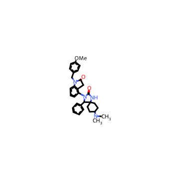 COc1ccc(CN2C(=O)Cc3c2cccc3N2C(=O)NC3(CCC(N(C)C)CC3)C2c2ccccc2)cc1